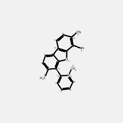 Cc1ccc2c(oc3c(C(C)C)c(C#N)ccc32)c1-c1cccc[n+]1C